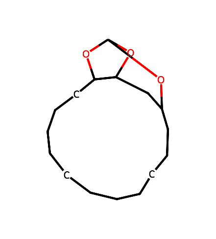 C1CCCCCC2CC3OC(O2)OC3CCCCC1